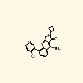 Cc1ccncc1-c1cccc2c(N)c3c(nc12)CN(C1CCC1)C3=O